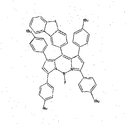 CC(C)(C)c1ccc(C2=CC(c3ccc(C(C)(C)C)cc3)=[N+]3B(F)n4c(-c5ccc(C(C)(C)C)cc5)cc(-c5ccc(C(C)(C)C)cc5)c4C(c4ccc5sc6ccccc6c5c4)=C23)cc1